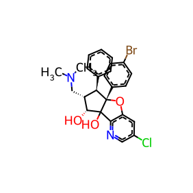 CN(C)C[C@H]1[C@@H](O)C2(O)c3ncc(Cl)cc3O[C@@]2(c2ccc(Br)cc2)[C@@H]1c1ccccc1